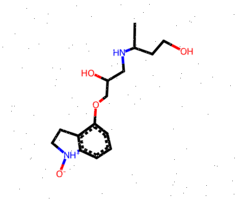 CC(CCO)NCC(O)COc1cccc2c1CC[NH+]2[O-]